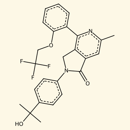 Cc1cc2c(c(-c3ccccc3OCC(F)(F)F)n1)CN(c1ccc(C(C)(C)O)cc1)C2=O